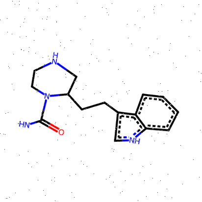 [NH]C(=O)N1CCNCC1CCc1c[nH]c2ccccc12